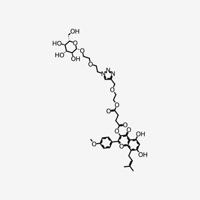 COc1ccc(-c2oc3c(CC=C(C)C)c(O)cc(O)c3c(=O)c2OC(=O)CCC(=O)OCCOCc2cn(CCOCCO[C@H]3O[C@@H](CO)[C@H](O)[C@@H](O)[C@@H]3O)nn2)cc1